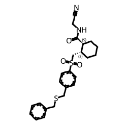 N#CCNC(=O)[C@H]1CCCC[C@@H]1CS(=O)(=O)c1ccc(CSCc2ccccc2)cc1